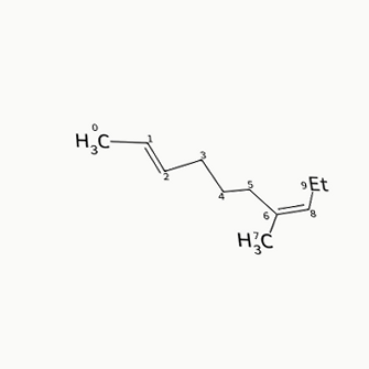 CC=CCCCC(C)=CCC